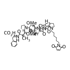 CC[C@H](C)[C@@H]([C@@H](CC(=O)N1CCC[C@H]1[C@H](OC)[C@@H](C)C(=O)N[C@@H](Cc1ccccc1)C(=O)O)OC)N(C)[C@H](C(=O)NC(=O)[C@]1(C)CCCN1CCCCCCN1C(=O)C=CC1=O)C(C)C